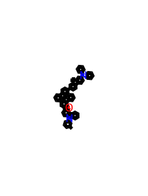 CC1C=CC=C(n2c3ccccc3c3c4oc5c6c(ccc5c4ccc32)C2(c3ccccc3-c3ccc(-c4ccc5c(c4)C(C)(C)c4cc(N(c7ccccc7)c7ccccc7)ccc4-5)cc32)c2ccccc2-6)C1